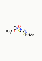 CC(=O)Nc1nc(C)c(-c2csc(C(=O)N3CCCC(OC(=O)O)C3)n2)s1